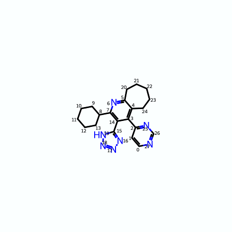 c1cc(-c2c3c(nc(C4CCCCC4)c2-c2nnn[nH]2)CCCCC3)ncn1